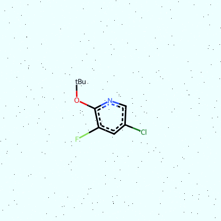 CC(C)(C)Oc1ncc(Cl)cc1F